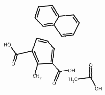 CC(=O)O.Cc1c(C(=O)O)cccc1C(=O)O.c1ccc2ccccc2c1